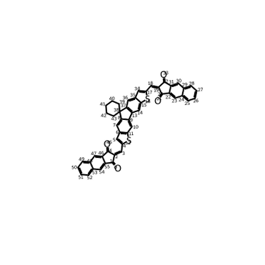 O=C1C(=Cc2cc3cc4c(cc3s2)-c2cc3sc(C=C5C(=O)c6cc7ccccc7cc6C5=O)cc3cc2C42CCCCC2)C(=O)c2cc3ccccc3cc21